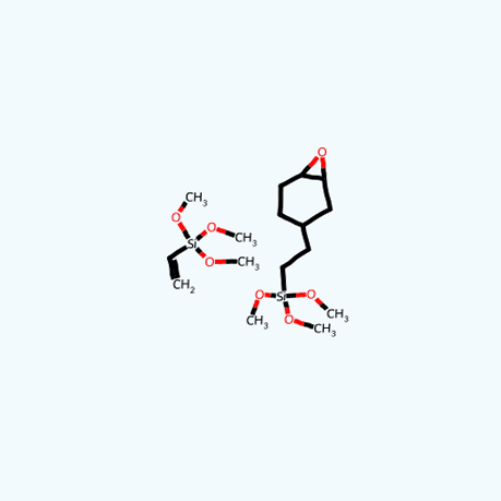 C=C[Si](OC)(OC)OC.CO[Si](CCC1CCC2OC2C1)(OC)OC